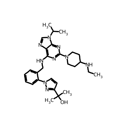 CCNC1CCN(c2nc(NCc3ccccc3-n3ccc(C(C)(C)O)n3)c3ncn(C(C)C)c3n2)CC1